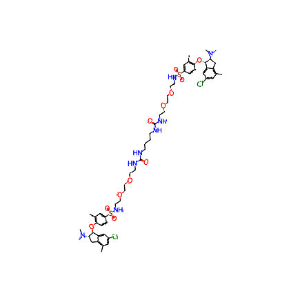 Cc1cc(S(=O)(=O)NCCOCCOCCNC(=O)NCCCCNC(=O)NCCOCCOCCNS(=O)(=O)c2ccc(O[C@H]3c4cc(Cl)cc(C)c4C[C@@H]3N(C)C)c(C)c2)ccc1O[C@H]1c2cc(Cl)cc(C)c2C[C@@H]1N(C)C